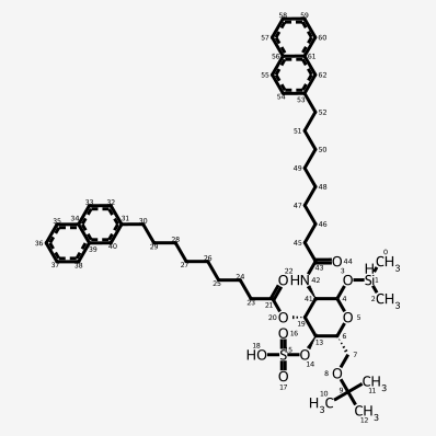 C[SiH](C)OC1O[C@H](COC(C)(C)C)[C@@H](OS(=O)(=O)O)[C@H](OC(=O)CCCCCCCCc2ccc3ccccc3c2)[C@H]1NC(=O)CCCCCCCCc1ccc2ccccc2c1